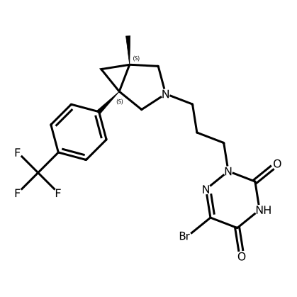 C[C@@]12CN(CCCn3nc(Br)c(=O)[nH]c3=O)C[C@]1(c1ccc(C(F)(F)F)cc1)C2